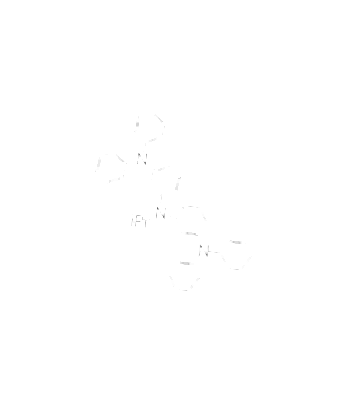 CC(C)n1c2cc(N(c3ccccc3)c3ccccc3)ccc2c2ccc(N(c3ccccc3)c3ccccc3)cc21